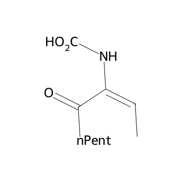 CC=C(NC(=O)O)C(=O)CCCCC